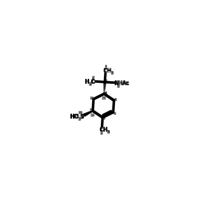 CC(=O)NC(C)(C)[C@@H]1CC=C(C)[C@@H](S(=O)(=O)O)C1